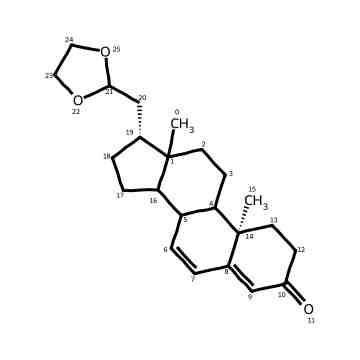 CC12CCC3C(C=CC4=CC(=O)CC[C@@]43C)C1CC[C@@H]2CC1OCCO1